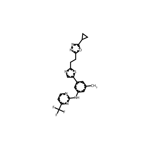 Cc1cc(Nc2nccc(C(F)(F)F)n2)cc(-c2cnc(CCc3nnc(C4CC4)o3)s2)c1